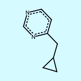 c1cc(CC2CC2)ncn1